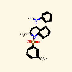 COc1cccc(S(=O)(=O)N2c3ccccc3[C@@H](N(C(C)=O)c3ccccc3)C[C@H]2C)c1